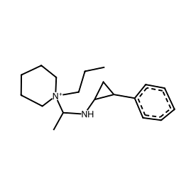 CCC[N+]1(C(C)NC2CC2c2ccccc2)CCCCC1